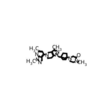 Cc1cc(N2CCc3c(c(C)nn3CC34CCC(N5CCN(C)C(=O)C5)(CC3)C4)C2)c2cnn(C)c2n1